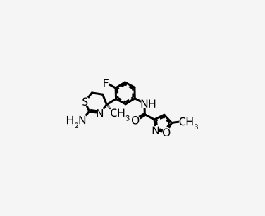 Cc1cc(C(=O)Nc2ccc(F)c([C@]3(C)CCSC(N)=N3)c2)no1